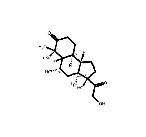 CCCC[C@@]1(C)C(=O)CC[C@H]2[C@@H]3CC[C@](O)(C(=O)CO)[C@@]3(C)C[C@H](O)C21F